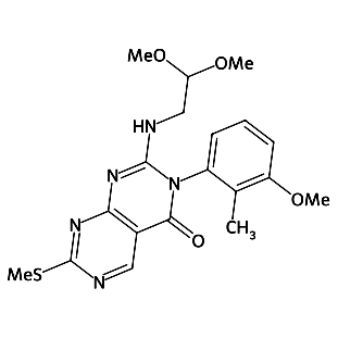 COc1cccc(-n2c(NCC(OC)OC)nc3nc(SC)ncc3c2=O)c1C